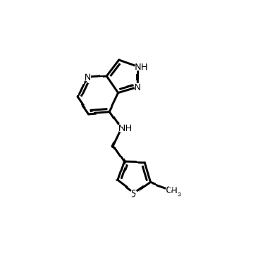 Cc1cc(CNc2ccnc3c[nH]nc23)cs1